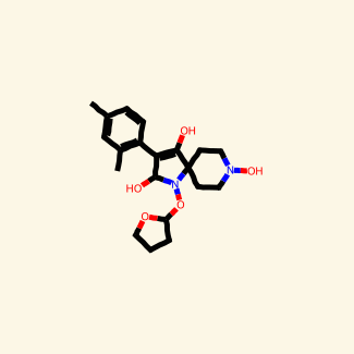 Cc1ccc(C2=C(O)C3(CCN(O)CC3)N(OC3CCCO3)C2O)c(C)c1